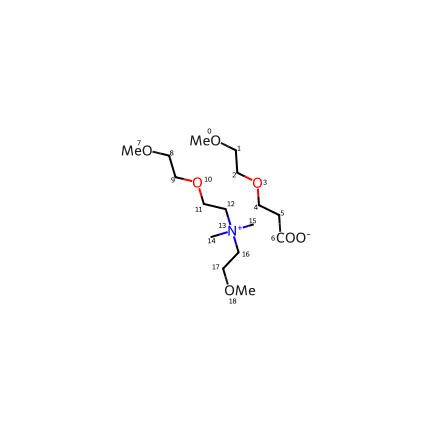 COCCOCCC(=O)[O-].COCCOCC[N+](C)(C)CCOC